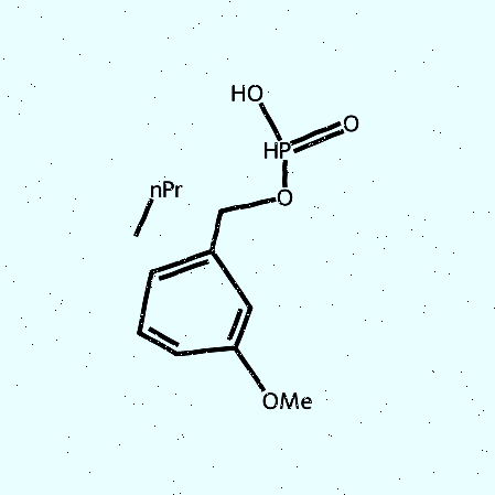 CCCC.COc1cccc(CO[PH](=O)O)c1